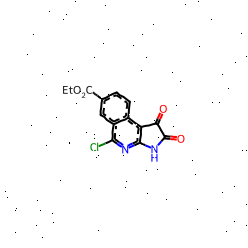 CCOC(=O)c1ccc2c3c(nc(Cl)c2c1)NC(=O)C3=O